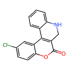 O=c1oc2ccc(Cl)cc2c2c1CNc1ccccc1-2